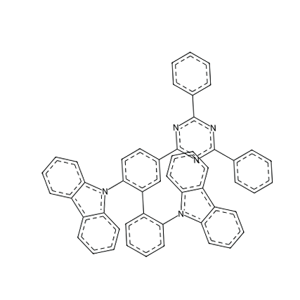 c1ccc(-c2nc(-c3ccccc3)nc(-c3ccc(-n4c5ccccc5c5ccccc54)c(-c4ccccc4-n4c5ccccc5c5ccccc54)c3)n2)cc1